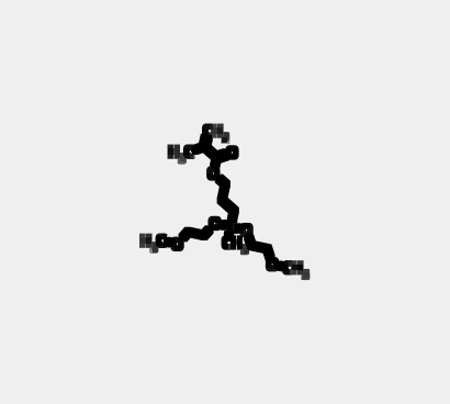 C=C(C)C(=O)OCC[CH2][Ti]([CH3])([O]CCOC)[O]CCOC